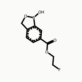 O=C(OCCF)c1ccc2c(c1)B(O)OC2